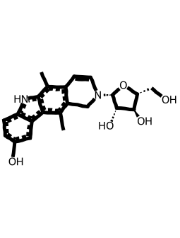 Cc1c2c(c(C)c3c1[nH]c1ccc(O)cc13)CN([C@@H]1O[C@H](CO)[C@@H](O)[C@@H]1O)C=C2